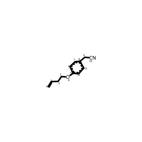 C=CCCOc1ccc(CC#N)cc1